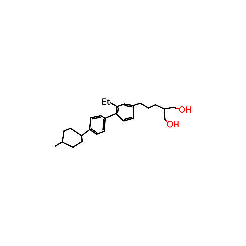 CCc1cc(CCCC(CO)CO)ccc1-c1ccc(C2CCC(C)CC2)cc1